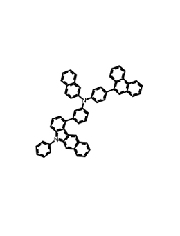 c1ccc(-n2c3cc4ccccc4cc3c3c(-c4cccc(N(c5ccc(-c6cc7ccccc7c7ccccc67)cc5)c5ccc6ccccc6c5)c4)cccc32)cc1